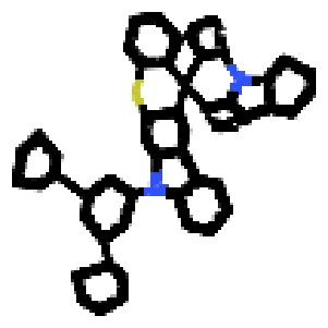 c1ccc(-c2cc(-c3ccccc3)cc(-n3c4ccccc4c4cc5c(cc43)Sc3ccccc3C53c4ccccc4-n4c5ccccc5c5cccc3c54)c2)cc1